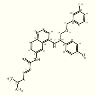 CN(C)C/C=C/C(=O)Nc1ccc2ncnc(N[C@H](COCc3cccc(F)c3)c3ccc(Cl)cc3)c2c1